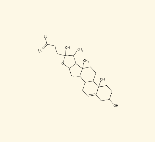 C=C(CC)CCC1(O)OC2CC3C4CC=C5CC(O)CCC5(O)C4CCC3(C)C2C1C